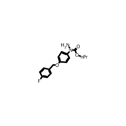 CCCOC(=O)N(N)c1ccc(OCc2ccc(F)cc2)cc1